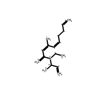 C=CCC/C=C\C(C)=C/C(=C)N(CC)C(C)C=C